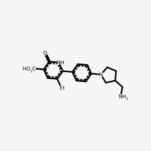 CCc1cc(C(=O)O)c(=O)[nH]c1-c1ccc(N2CCC(CN)C2)cc1